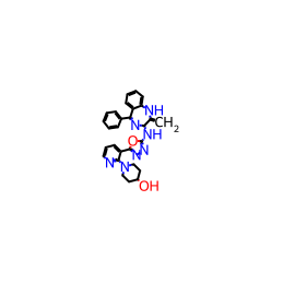 C=C1Nc2ccccc2C(c2ccccc2)=NC1Nc1nnc(-c2cccnc2N2CCC(O)CC2)o1